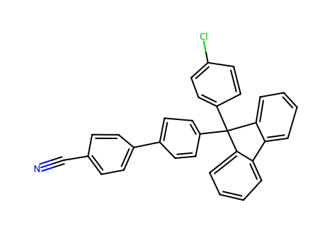 N#Cc1ccc(-c2ccc(C3(c4ccc(Cl)cc4)c4ccccc4-c4ccccc43)cc2)cc1